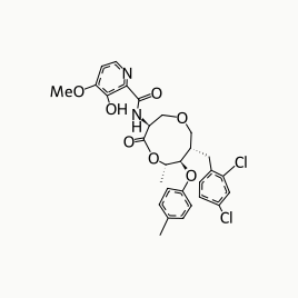 COc1ccnc(C(=O)N[C@H]2COC[C@H](Cc3ccc(Cl)cc3Cl)[C@@H](Oc3ccc(C)cc3)[C@H](C)OC2=O)c1O